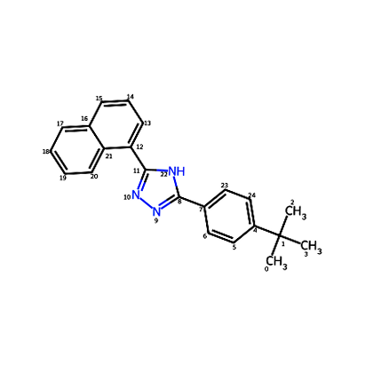 CC(C)(C)c1ccc(-c2nnc(-c3cccc4ccccc34)[nH]2)cc1